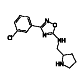 Clc1cccc(-c2noc(NCC3CCCN3)n2)c1